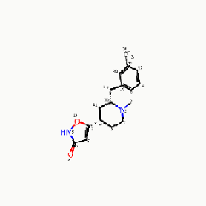 CN1CC[C@H](c2cc(=O)[nH]o2)C[C@@H]1Cc1cccc(C(F)(F)F)c1